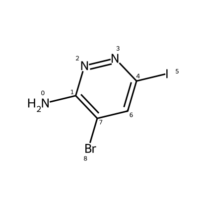 Nc1nnc(I)cc1Br